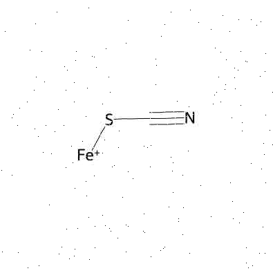 N#C[S][Fe+]